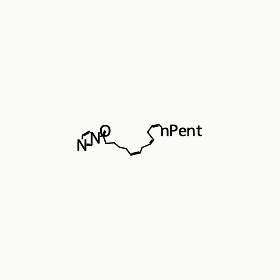 CCCCC/C=C\C/C=C\C/C=C\CCCCC(=O)n1ccnc1